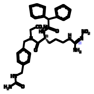 CCOC(=O)CN(Cc1ccc(CNC(N)=O)cc1)C(=O)[C@@H](CCCN/C(N)=N\[N+](=O)[O-])NC(=O)C(c1ccccc1)c1ccccc1